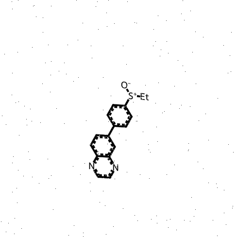 CC[S+]([O-])c1ccc(-c2ccc3nccnc3c2)cc1